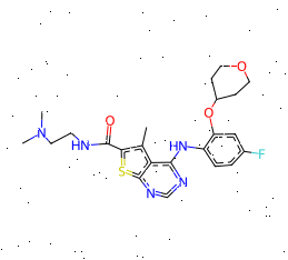 Cc1c(C(=O)NCCN(C)C)sc2ncnc(Nc3ccc(F)cc3OC3CCOCC3)c12